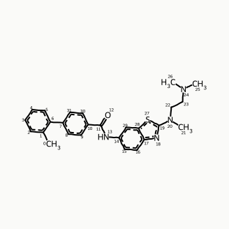 Cc1ccccc1-c1ccc(C(=O)Nc2ccc3nc(N(C)CCN(C)C)sc3c2)cc1